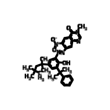 Cn1cnc2cc(N=Nc3cc(C(C)(C)CC(C)(C)C)cc(C(C)(C)c4ccccc4)c3O)c([N+](=O)[O-])cc2c1=O